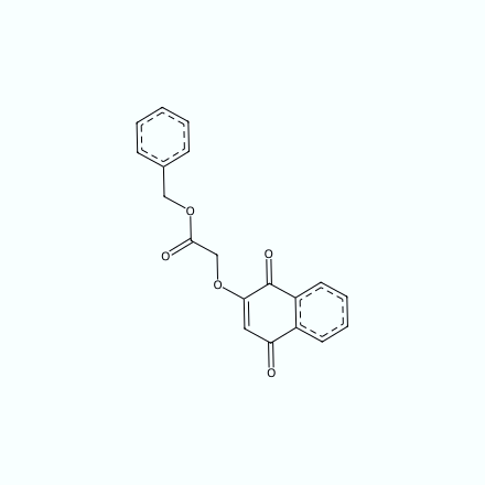 O=C(COC1=CC(=O)c2ccccc2C1=O)OCc1ccccc1